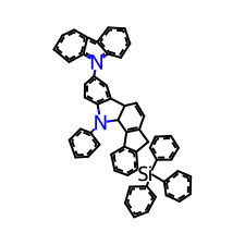 C1=CC2c3cc(-n4c5ccccc5c5ccccc54)ccc3N(c3ccccc3)C2C2=C1Cc1c2cccc1[Si](c1ccccc1)(c1ccccc1)c1ccccc1